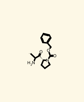 [CH2]C(N)C(=O)[C@H]1CCCN1C(=O)OCc1ccccc1